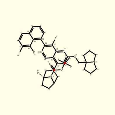 CC(C)(C)OC(=O)N1C2CC[C@H]1CN(c1nc(OCC34CCCN3CCC4)nc3c(F)c(-c4cccc5ccc(F)c(F)c45)ncc13)C2